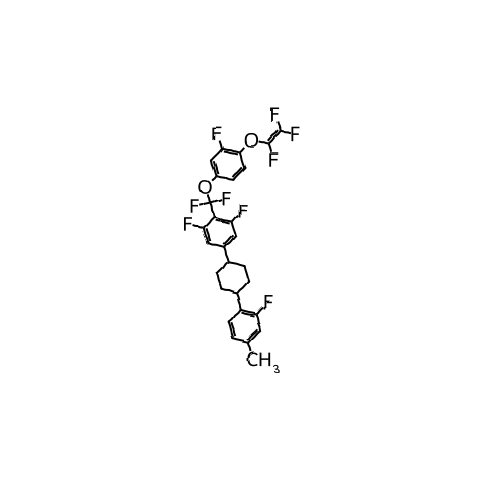 Cc1ccc(C2CCC(c3cc(F)c(C(F)(F)Oc4ccc(OC(F)=C(F)F)c(F)c4)c(F)c3)CC2)c(F)c1